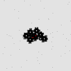 c1ccc(-c2cccc(C3(c4ccccc4)c4ccccc4-c4cccc(-c5ccc(-c6cccc7c6oc6ccccc67)cc5)c43)c2)cc1